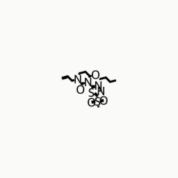 C=CCN1CCC(OCCCC)N(c2nnc(S(C)(=O)=O)s2)C1=O